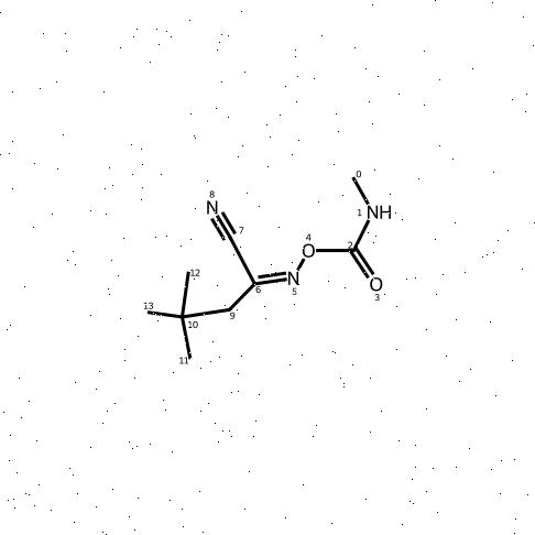 CNC(=O)ON=C(C#N)CC(C)(C)C